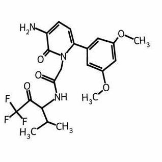 COc1cc(OC)cc(-c2ccc(N)c(=O)n2CC(=O)NC(C(=O)C(F)(F)F)C(C)C)c1